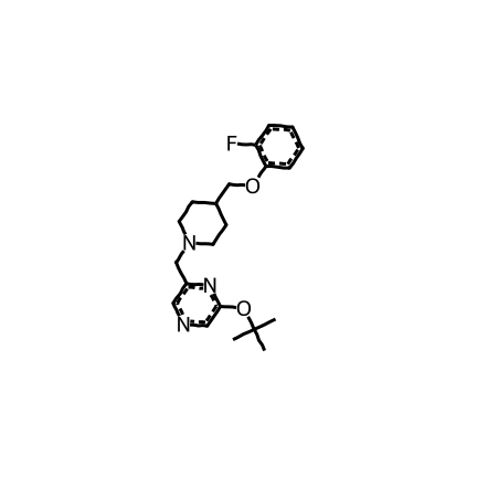 CC(C)(C)Oc1cncc(CN2CCC(COc3ccccc3F)CC2)n1